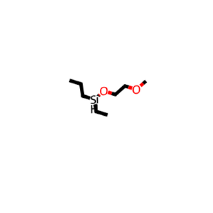 CCC[SiH](CC)OCCOC